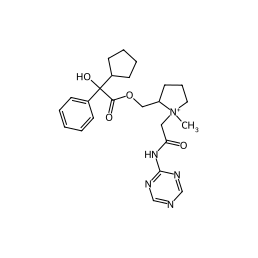 C[N+]1(CC(=O)Nc2ncncn2)CCCC1COC(=O)C(O)(c1ccccc1)C1CCCC1